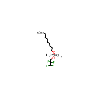 CCCCCCCCCCCCCCCCCCO[Si](C)(C)OCC(F)(F)C(F)F